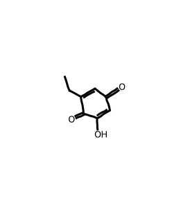 CCC1=CC(=O)C=C(O)C1=O